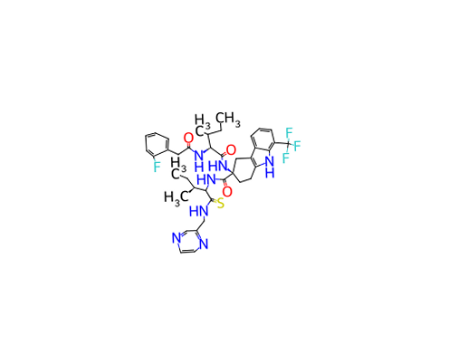 CCC(C)[C@H](NC(=O)Cc1ccccc1F)C(=O)N[C@]1(C(=O)NC(C(=S)NCc2cnccn2)[C@@H](C)CC)CCc2[nH]c3c(C(F)(F)F)cccc3c2C1